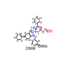 COc1ccc(Cn2c([C@H](CCCCO)NC(=O)c3ccccc3)nc3cc(-c4ccccc4)ccc32)cc1OC